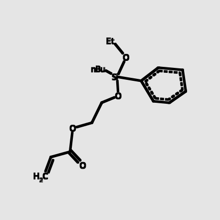 C=CC(=O)OCCO[Si](CCCC)(OCC)c1ccccc1